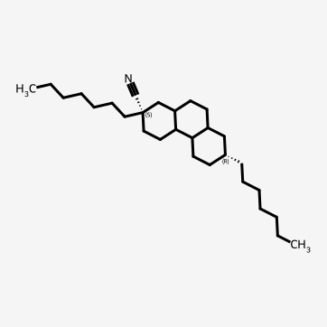 CCCCCCC[C@@H]1CCC2C(CCC3C[C@](C#N)(CCCCCCC)CCC32)C1